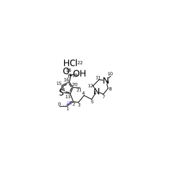 C/C=C(/CCCN1CCN(C)CC1)c1scc(C(=O)O)c1C.Cl